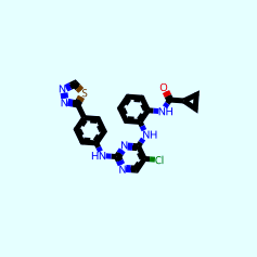 O=C(Nc1ccccc1Nc1nc(Nc2ccc(-c3nncs3)cc2)ncc1Cl)C1CC1